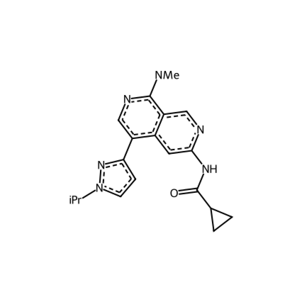 CNc1ncc(-c2ccn(C(C)C)n2)c2cc(NC(=O)C3CC3)ncc12